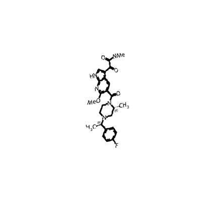 CNC(=O)C(=O)c1c[nH]c2nc(OC)c(C(=O)N3CCN([C@H](C)c4ccc(F)cc4)C[C@H]3C)cc12